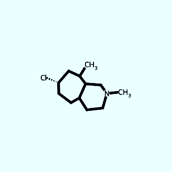 CC1C[C@@H](Cl)CCC2CCN(C)CC12